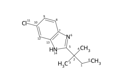 CCC(C)(C)c1nc2ccc(Cl)cc2[nH]1